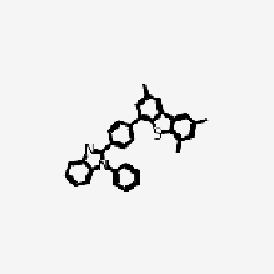 Cc1cc(C)c2sc3c(-c4ccc(-c5nc6ccccc6n5-c5ccccc5)cc4)cc(C)cc3c2c1